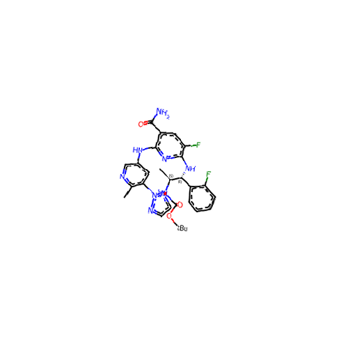 Cc1ncc(Nc2nc(N[C@H](c3ccccc3F)[C@H](C)NC(=O)OC(C)(C)C)c(F)cc2C(N)=O)cc1-n1nccn1